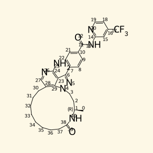 C[C@@H]1CCn2nc(-c3ccc(C(=O)Nc4cc(C(F)(F)F)ccn4)cc3)c3c(N)ncc(c32)CCCCCCCCC(=O)N1